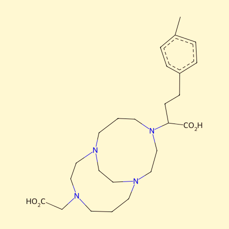 Cc1ccc(CCC(C(=O)O)N2CCCN3CCN(CCCN(CC(=O)O)CC3)CC2)cc1